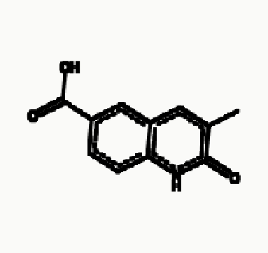 Cc1cc2cc(C(=O)O)ccc2[nH]c1=O